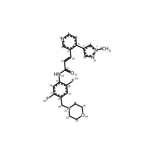 Cn1cc(-c2ccncc2C=CC(=O)Nc2cc(F)c(CN3CCOCC3)cc2F)cn1